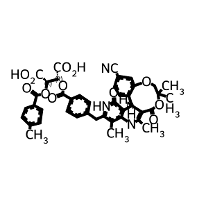 CC1=C2C(=O)OC(C)(C)COc3cc(C#N)ccc3[C@H]2c2c(c(C)c(Cc3ccc(C(=O)O[C@@H](C(=O)O)[C@@H](OC(=O)c4ccc(C)cc4)C(=O)O)cc3)[nH]c2=O)N1